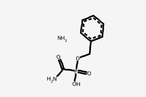 N.NC(=O)P(=O)(O)OCc1ccccc1